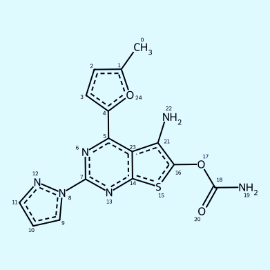 Cc1ccc(-c2nc(-n3cccn3)nc3sc(OC(N)=O)c(N)c23)o1